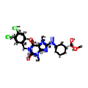 COC(=O)[C@@H]1CCC[C@@H](Nc2nc3c(c(=O)n(Cc4ccc(Cl)c(Cl)c4)c(=O)n3C)n2C)C1